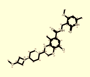 COc1cc(C)[nH]c(=O)c1CNC(=O)c1cc(Cl)c2c(c1C)O[C@H]([C@H]1CC[C@H](N3CC(OC)C3)CC1)CO2